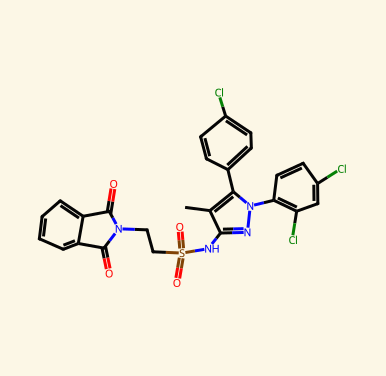 Cc1c(NS(=O)(=O)CCN2C(=O)c3ccccc3C2=O)nn(-c2ccc(Cl)cc2Cl)c1-c1ccc(Cl)cc1